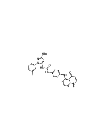 Cc1cccc(-n2nc(C(C)(C)C)cc2NC(=O)Nc2ccc(Nc3ncnc4[nH]ccc(=O)c34)cc2)c1